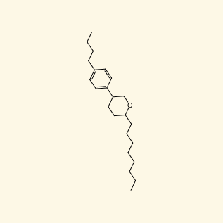 CCCCCCCCC1CCC(c2ccc(CCCC)cc2)CO1